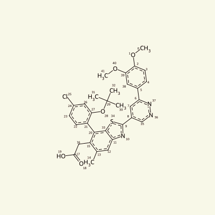 COc1ccc(-c2cc(-c3nc4cc(C)c(CC(=O)O)c(-c5ccc(Cl)cc5OC(C)(C)C)c4s3)cnn2)cc1OC